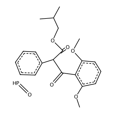 COc1cccc(OC)c1C(=O)C(C(=O)OCC(C)C)c1ccccc1.O=P